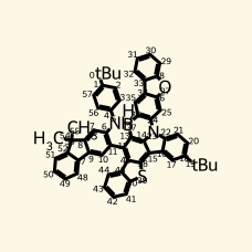 CC(C)(C)c1ccc(Nc2cc3c(cc2-c2c4c5c(c6cc(C(C)(C)C)ccc6n5-c5cc6oc7ccccc7c6cc5B4)c4sc5ccccc5c24)-c2ccccc2C3(C)C)cc1